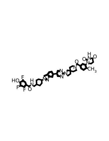 Cc1ccc(C(=O)N2CCC3(CC2)CCN(c2ncc(-c4ccc5cn(C6CCC(CNC(=O)c7cc(F)c(O)c(F)c7F)CC6)nc5c4)cn2)C3)cc1N1CCC(=O)NC1=O